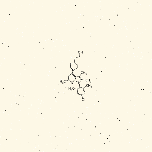 Cc1cc(N2CCC(CCO)CC2)c2c(C)c(C)n(-c3c(C)cc(Cl)cc3C)c2n1